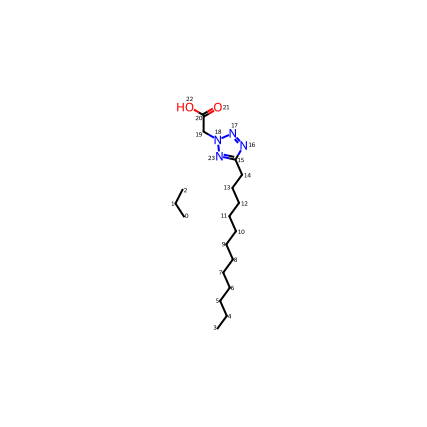 CCC.CCCCCCCCCCCCc1nnn(CC(=O)O)n1